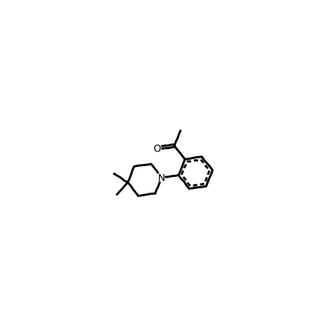 CC(=O)c1ccccc1N1CCC(C)(C)CC1